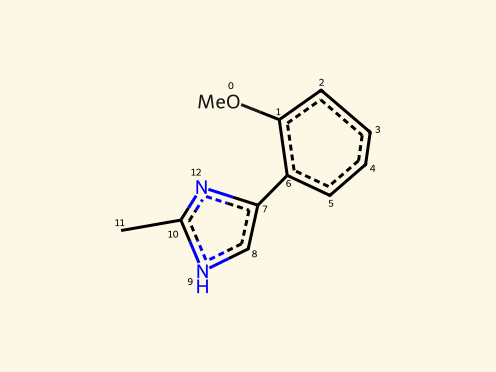 COc1ccccc1-c1c[nH]c(C)n1